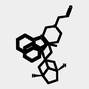 Cc1nc2ccccc2n1[C@H]1C[C@H]2CC[C@@H](C1)N2CCC1(c2ccccc2)CCN(CC=O)CC1